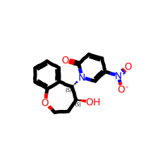 O=c1ccc([N+](=O)[O-])cn1[C@H]1c2ccccc2OCC[C@@H]1O